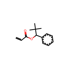 C=CC(=O)OC(c1ccccc1)C(C)(C)C